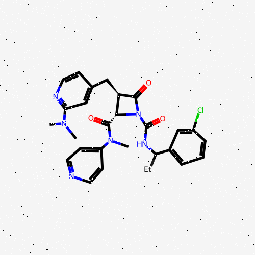 CCC(NC(=O)N1C(=O)[C@H](Cc2ccnc(N(C)C)c2)[C@H]1C(=O)N(C)c1ccncc1)c1cccc(Cl)c1